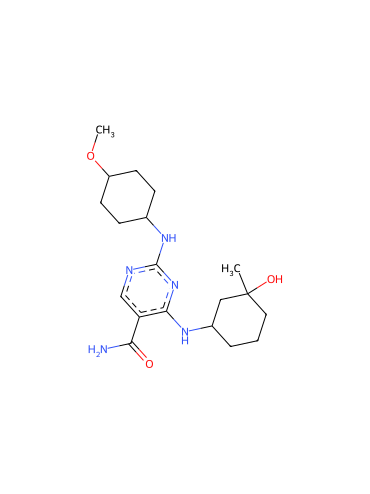 COC1CCC(Nc2ncc(C(N)=O)c(NC3CCCC(C)(O)C3)n2)CC1